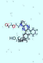 CC(=O)O.CC(C)N(CCOCC[O-])c1cnc(-c2ccccc2)c(-c2ccccc2)n1.[Na+]